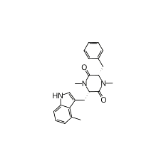 Cc1cccc2[nH]cc(C[C@H]3C(=O)N(C)[C@@H](Cc4ccccc4)C(=O)N3C)c12